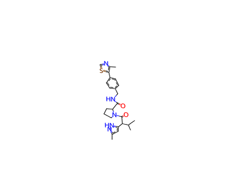 Cc1cc(C(C(=O)N2CCCC2C(=O)NCc2ccc(-c3scnc3C)cc2)C(C)C)[nH]n1